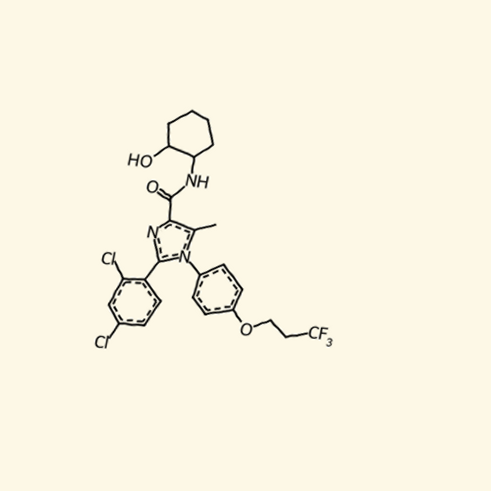 Cc1c(C(=O)NC2CCCCC2O)nc(-c2ccc(Cl)cc2Cl)n1-c1ccc(OCCC(F)(F)F)cc1